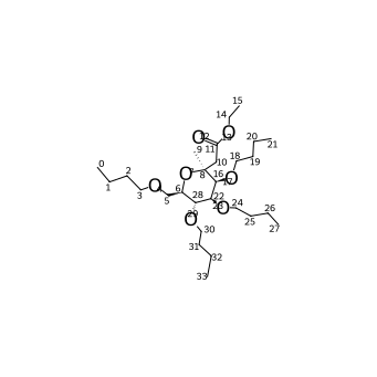 CCCCOC[C@H]1O[C@@](C)(CC(=O)OCC)[C@@H](OCCCC)[C@@H](OCCCC)[C@@H]1OCCCC